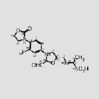 CC(NC[C@H]1CN(c2ccc(N3CCOC3=O)c(F)c2)C(C=O)O1)S(=O)(=O)O